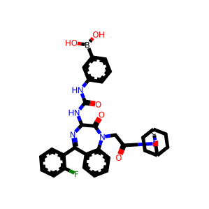 O=C(Nc1cccc(B(O)O)c1)NC1N=C(c2ccccc2F)c2ccccc2N(CC(=O)N2CC3CCC(CC3)C2)C1=O